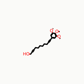 COc1cc(C#CCCCCCCC#CCO)cc(OC)c1OC